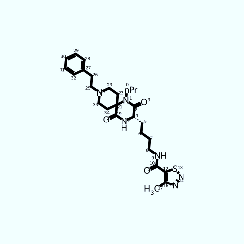 CCCN1C(=O)[C@H](CCCCNC(=O)c2snnc2C)NC(=O)C12CCN(CCc1ccccc1)CC2